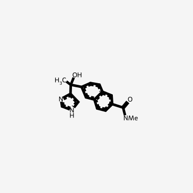 CNC(=O)c1ccc2cc(C(C)(O)c3c[nH]cn3)ccc2c1